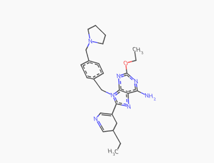 CCOc1nc(N)c2nc(C3=CN=CC(CC)C3)n(Cc3ccc(CN4CCCC4)cc3)c2n1